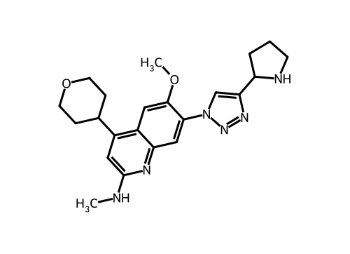 CNc1cc(C2CCOCC2)c2cc(OC)c(-n3cc(C4CCCN4)nn3)cc2n1